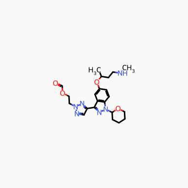 CNCCC(C)Oc1ccc2c(c1)c(-c1cnn(CCOC=O)n1)nn2C1CCCCO1